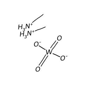 C[NH3+].C[NH3+].[O]=[W](=[O])([O-])[O-]